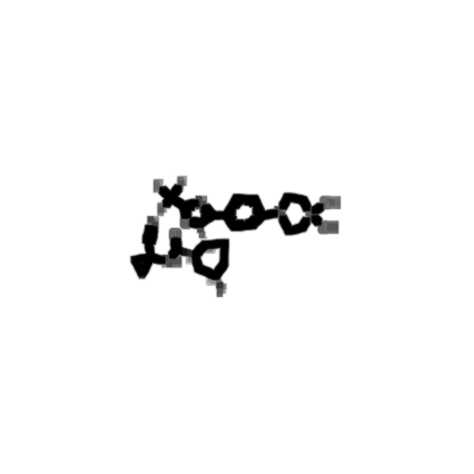 N#CC1(NC(=O)[C@@H]2C[C@@H](F)CC[C@H]2c2oc(C(F)(F)F)nc2-c2ccc(N3CCS(O)(O)CC3)cc2)CC1